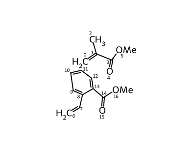 C=C(C)C(=O)OC.C=Cc1ccccc1C(=O)OC